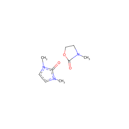 CN1CCOC1=O.Cn1ccn(C)c1=O